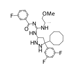 COC[C@H](C)N/C(=N/C(=O)c1cccc(F)c1)NC1CC(c2cc(F)cc(F)c2)(C2CCCCCCC2)NN1